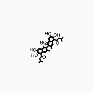 Cc1cc2c(C(=O)CC(C)C)c(O)c(O)cc2c(O)c1-c1c(C)cc2c(C(=O)CC(C)C)c(O)c(O)cc2c1O